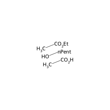 CC(=O)O.CCCCCO.CCOC(C)=O